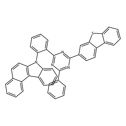 c1ccc(-c2nc(-c3ccc4c(c3)sc3ccccc34)nc(-c3ccccc3-n3c4ccccc4c4c5ccccc5ccc43)n2)cc1